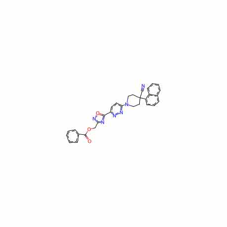 N#CC1(c2cccc3ccccc23)CCN(c2ccc(-c3nc(COC(=O)c4ccccc4)no3)nn2)CC1